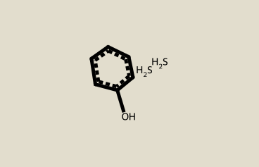 Oc1ccccc1.S.S